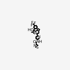 CC(C)C(O)(C1=NC(c2ccc(NC(=O)c3cscn3)cn2)=CC2CCC12)c1cccc(C(F)(F)F)c1